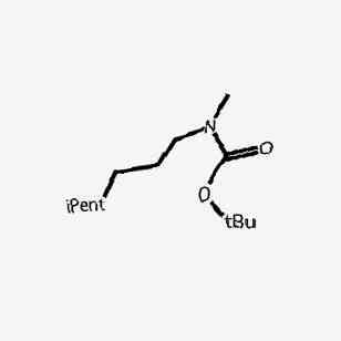 CCCC(C)CCCN(C)C(=O)OC(C)(C)C